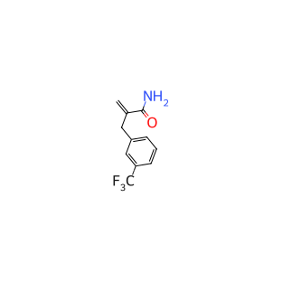 C=C(Cc1cccc(C(F)(F)F)c1)C(N)=O